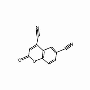 N#Cc1ccc2oc(=O)cc(C#N)c2c1